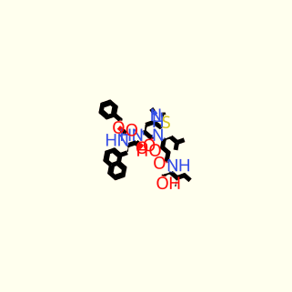 CC[C@H](C)[C@@H](CO)NC(=O)C[C@H](O)[C@H](CC(C)C)NC(=O)[C@H](CC1CSCN1C)NC(=O)[C@H](Cc1cccc2ccccc12)NC(=O)OCc1ccccc1